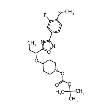 CCC(OC1CCN(OC(=O)OC(C)(C)C)CC1)c1nc(-c2ccc(SC)c(F)c2)no1